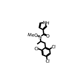 CON(C(=O)c1cc[nH]c1)C(C)Cc1c(Cl)cc(Cl)cc1Cl